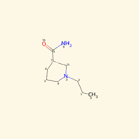 CCCN1CCCC(C(N)=O)C1